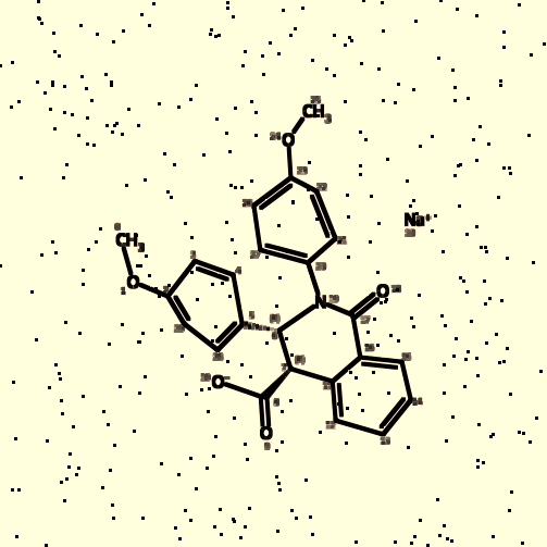 COc1ccc([C@H]2[C@H](C(=O)[O-])c3ccccc3C(=O)N2c2ccc(OC)cc2)cc1.[Na+]